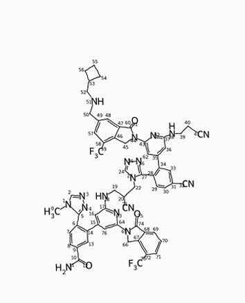 Cn1cnnc1-c1ccc(C(N)=O)cc1-c1cc(NCC(C#N)Cn2cnnc2-c2ccc(C#N)cc2-c2cc(NCCC#N)nc(N3Cc4c(cc(CNCC5CCC5)cc4C(F)(F)F)C3=O)c2)nc(N2Cc3c(cccc3C(F)(F)F)C2=O)c1